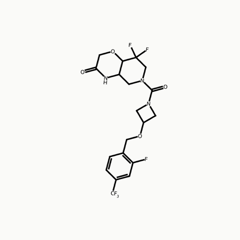 O=C1COC2C(CN(C(=O)N3CC(OCc4ccc(C(F)(F)F)cc4F)C3)CC2(F)F)N1